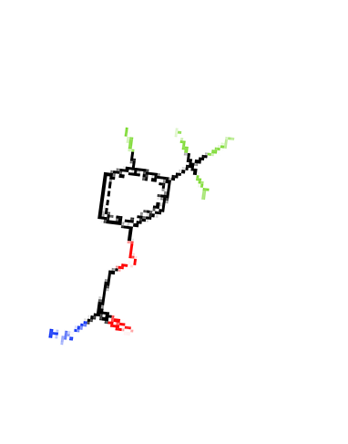 NC(=O)COc1ccc(F)c(C(F)(F)F)c1